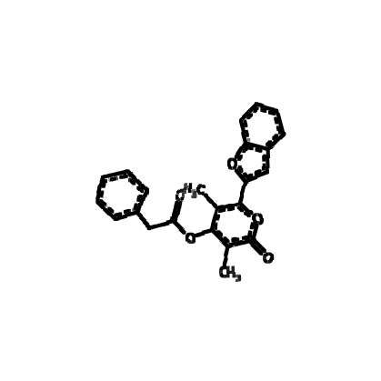 Cc1c(-c2cc3ccccc3o2)oc(=O)c(C)c1OC(=O)Cc1ccccc1